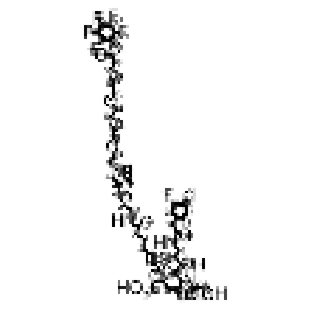 O=C(CCCCCCO[C@]1(C(=O)O)C[C@H](O)[C@@H](NC(=O)CO)[C@H]([C@H](O)[C@H](O)CNC(=O)Cc2ccc(Cl)c(F)c2)O1)NCCOCc1cn(CCOCCOCCOCCOCCC(=O)Oc2c(F)c(F)c(F)c(F)c2F)nn1